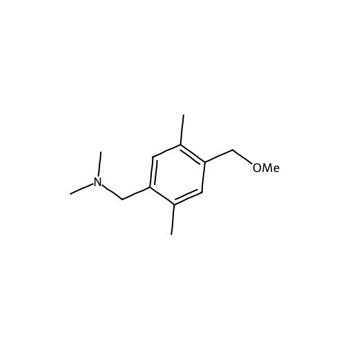 COCc1cc(C)c(CN(C)C)cc1C